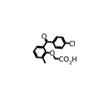 Cc1cccc(C(=O)c2ccc(Cl)cc2)c1OCC(=O)O